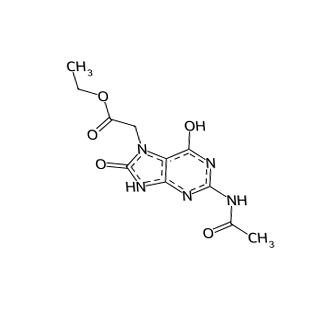 CCOC(=O)Cn1c(=O)[nH]c2nc(NC(C)=O)nc(O)c21